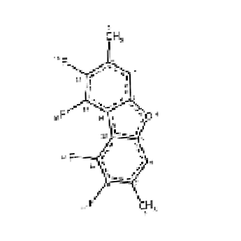 Cc1cc2oc3cc(C)c(F)c(F)c3c2c(F)c1F